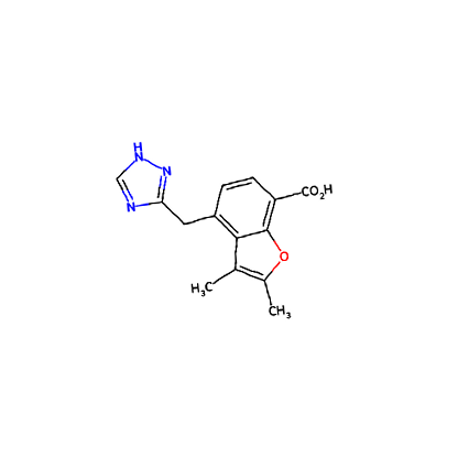 Cc1oc2c(C(=O)O)ccc(Cc3nc[nH]n3)c2c1C